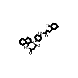 O=C(/C=C/c1ccccc1Cl)Nc1ccc(N2C(=O)CC(=O)Nc3c2ccc2ccccc32)cc1